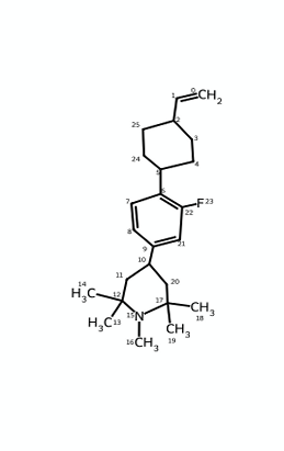 C=CC1CCC(c2ccc(C3CC(C)(C)N(C)C(C)(C)C3)cc2F)CC1